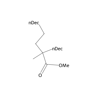 CCCCCCCCCCCCC(C)(CCCCCCCCCC)C(=O)OC